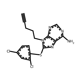 C#CCCCn1c(Sc2ccc(Cl)cc2Cl)nc2c(N)ncnc21